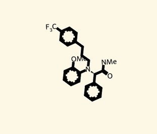 CNC(=O)[C@H](c1ccccc1)N(CCCc1ccc(C(F)(F)F)cc1)c1ccccc1OC